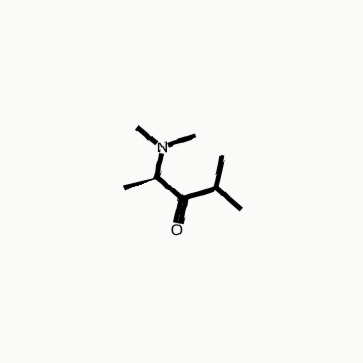 CC(C)C(=O)[C@@H](C)N(C)C